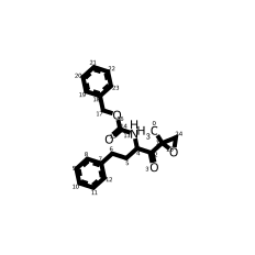 CC1(C(=O)C(CCc2ccccc2)NC(=O)OCc2ccccc2)CO1